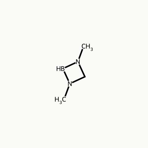 CN1BN(C)C1